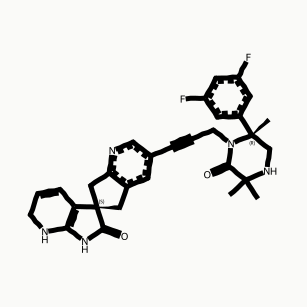 CC1(C)NC[C@@](C)(c2cc(F)cc(F)c2)N(CC#Cc2cnc3c(c2)C[C@@]2(C3)C(=O)NC3=C2C=CCN3)C1=O